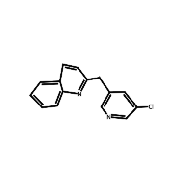 Clc1cncc([CH]c2ccc3ccccc3n2)c1